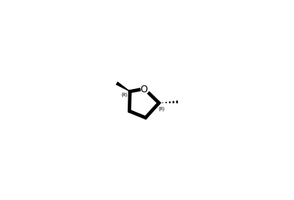 C[C@@H]1CC[C@@H](C)O1